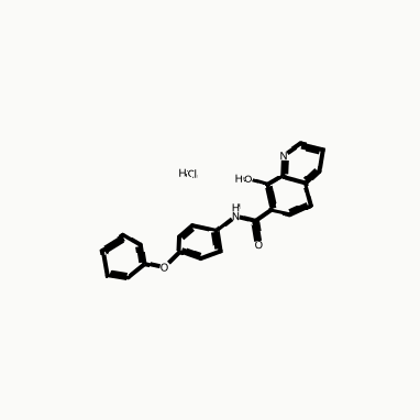 Cl.O=C(Nc1ccc(Oc2ccccc2)cc1)c1ccc2cccnc2c1O